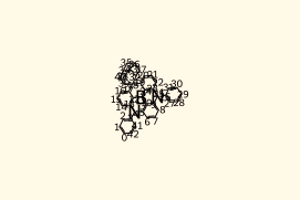 c1ccc(N2c3cccc4c3B3c5c2cccc5C2(c5cccc(c53)N4c3ccccc3)C3CC4CC(C3)CC2C4)cc1